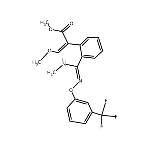 CNC(=NOc1cccc(C(F)(F)F)c1)c1ccccc1C(=COC)C(=O)OC